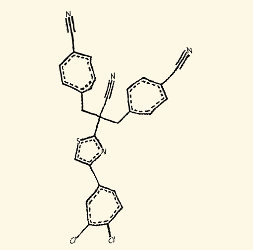 N#Cc1ccc(CC(C#N)(Cc2ccc(C#N)cc2)c2nc(-c3ccc(Cl)c(Cl)c3)cs2)cc1